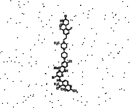 CCc1cc(Nc2ncc(Br)c(Nc3ccc4nc(C)ccc4c3P(C)(C)=O)n2)c(OC)cc1N1CCC(N2CCN(CCc3cc(F)c(C4CCC(=O)NC4=O)c(F)c3)[C@@H](C)C2)CC1